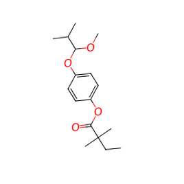 CCC(C)(C)C(=O)Oc1ccc(OC(OC)C(C)C)cc1